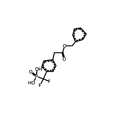 O=C(Cc1ccc(C(F)(F)P(=O)(O)O)cc1)OCc1ccccc1